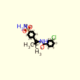 CC1(C)C(NC(=O)c2cccc(Cl)c2)C1c1ccc(S(N)(=O)=O)cc1